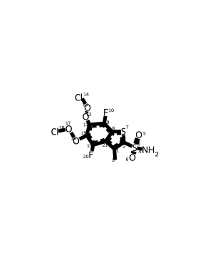 Cc1c(S(N)(=O)=O)sc2c(F)c(OOCl)c(OOCl)c(F)c12